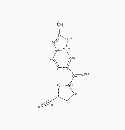 Cc1nc2ccc(C(=O)N3CCC(C#N)C3)cc2s1